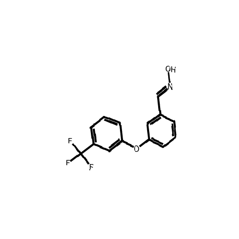 O/N=C/c1cccc(Oc2cccc(C(F)(F)F)c2)c1